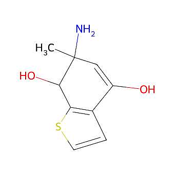 CC1(N)C=C(O)c2ccsc2C1O